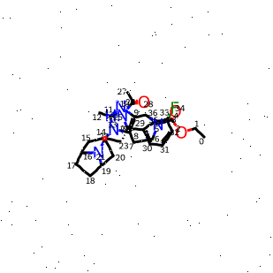 CCOC(=O)N1CCc2c(nc(C)n2C2CC3CCC(C2)N3CC[C@H](NC(C)=O)c2cccc(F)c2)C1